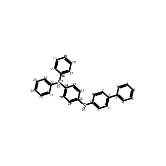 [c]1ccccc1-c1ccc(Sc2ccc([S+](c3ccccc3)c3ccccc3)cc2)cc1